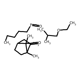 CC12CCC(CC1=O)C2(C)C.CCCCCP=O.CCOCC(C)C